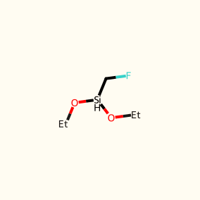 CCO[SiH](CF)OCC